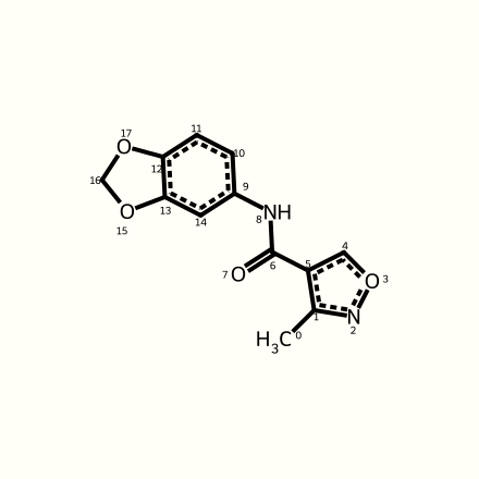 Cc1nocc1C(=O)Nc1ccc2c(c1)OCO2